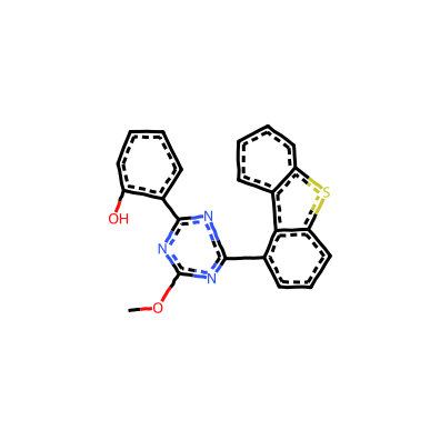 COc1nc(-c2ccccc2O)nc(-c2cccc3sc4ccccc4c23)n1